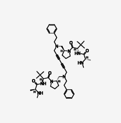 CN[C@@H](C)C(=O)N[C@H](C(=O)N1CCC[C@H]1CN(CC#CC#CCN(CCc1ccccc1)C[C@@H]1CCCN1C(=O)[C@@H](NC(=O)[C@H](C)NC)C(C)(C)C)CCc1ccccc1)C(C)(C)C